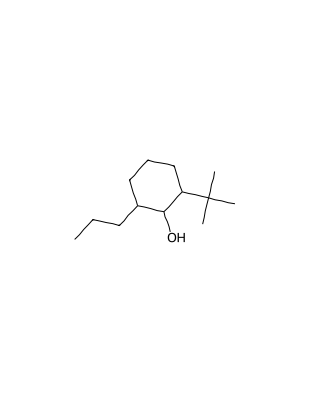 CCCC1CCCC(C(C)(C)C)C1O